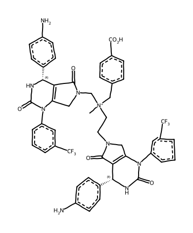 C[N+](CCN1CC2=C(C1=O)[C@@H](c1ccc(N)cc1)NC(=O)N2c1cccc(C(F)(F)F)c1)(Cc1ccc(C(=O)O)cc1)CN1CC2=C(C1=O)[C@@H](c1ccc(N)cc1)NC(=O)N2c1cccc(C(F)(F)F)c1